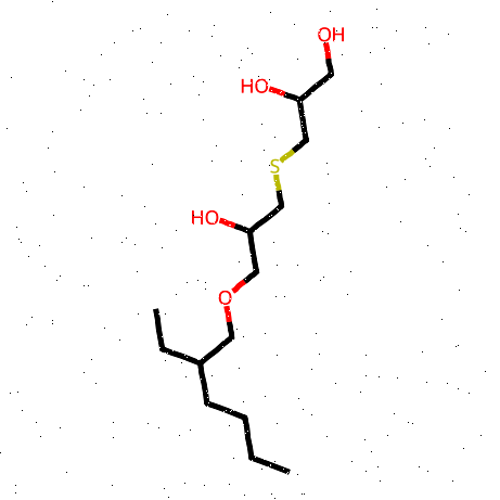 CCCCC(CC)COCC(O)CSCC(O)CO